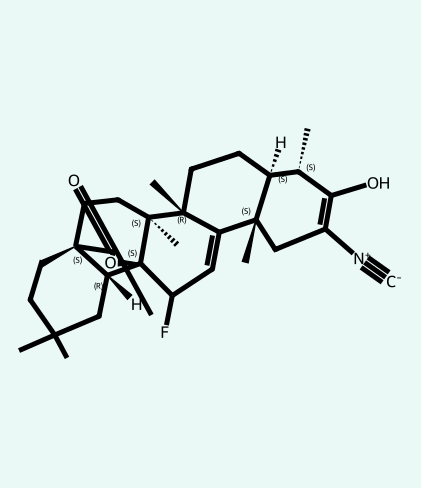 [C-]#[N+]C1=C(O)[C@@H](C)[C@@H]2CC[C@]3(C)C(=CC(F)[C@]45OC(=O)[C@@]6(CCC(C)(C)C[C@H]64)CC[C@@]35C)[C@@]2(C)C1